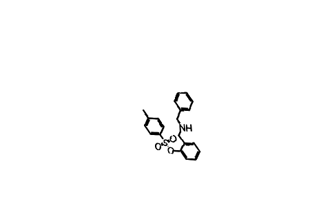 Cc1ccc(S(=O)(=O)Oc2ccccc2CNCc2ccccc2)cc1